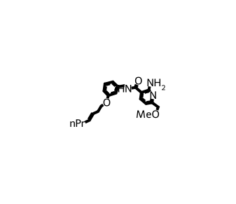 CCC/C=C/CCOc1cccc(CNC(=O)c2ccc(COC)nc2N)c1